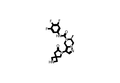 C[C@H]1Cn2ncc(N3CC4(CNC4)CC3=O)c2CN1C(=O)Nc1cc(F)c(F)c(F)c1